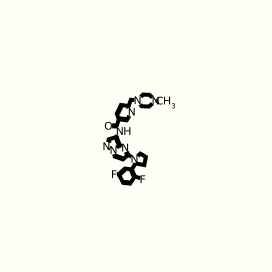 CN1CCN(Cc2ccc(C(=O)Nc3cnn4ccc(N5CCCC5c5cc(F)ccc5F)nc34)cn2)CC1